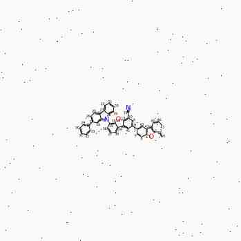 C=Cc1oc2ccc(-c3cc(C#N)c4oc5c(-n6c7ccccc7c7ccc(-c8ccccc8)cc76)cccc5c4c3)cc2c1/C=C\C